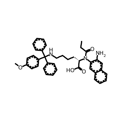 CCC(=O)N(c1cc2ccccc2cc1N)[C@@H](CCCCNC(c1ccccc1)(c1ccccc1)c1ccc(OC)cc1)C(=O)O